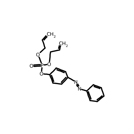 C=CCOP(=O)(OCC=C)Oc1ccc(N=Nc2ccccc2)cc1